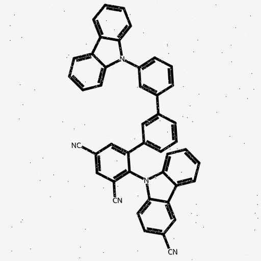 N#Cc1cc(C#N)c(-n2c3ccccc3c3cc(C#N)ccc32)c(-c2cccc(-c3cccc(-n4c5ccccc5c5ccccc54)c3)c2)c1